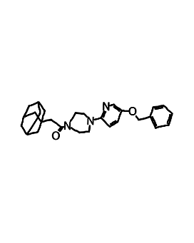 O=C(CC12CC3CC(CC(C3)C1)C2)N1CCN(c2ccc(OCc3ccccc3)cn2)CC1